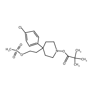 CC(C)(C)C(=O)ON1CCC(CCOS(C)(=O)=O)(c2ccc(Cl)cc2)CC1